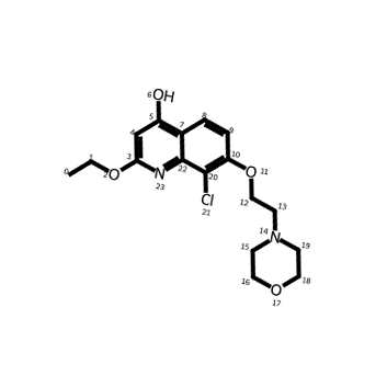 CCOc1cc(O)c2ccc(OCCN3CCOCC3)c(Cl)c2n1